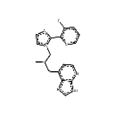 CC(Cc1ccnc2[nH]cnc12)Cn1ccnc1-c1ncccc1F